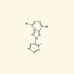 Brc1ccc(Br)c2nn(-c3cnccn3)nc12